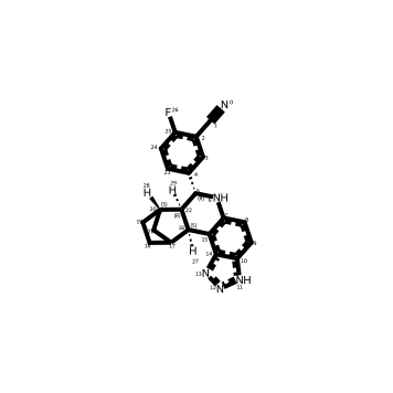 N#Cc1cc([C@@H]2Nc3ccc4[nH]nnc4c3[C@H]3C4CC[C@@H](C4)[C@@H]23)ccc1F